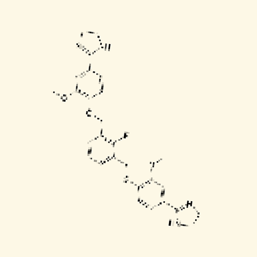 COc1cc(C2=NCCN2)ccc1OCc1cccc(CSc2ccc(C3=NCCN3)cc2OC)c1F